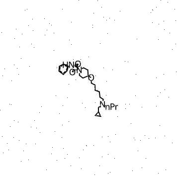 CCCN(CCCCCCOC1CCN(S(=O)(=O)Nc2ccccc2)CC1)CC1CC1